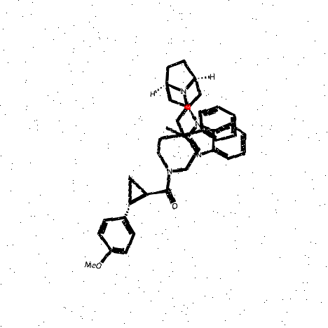 COc1ccc([C@@H]2C[C@H]2C(=O)N2CCC(CCN3[C@@H]4CC[C@H]3C[C@@H](n3c(C)nc5ccccc53)C4)(c3ccccc3)CC2)cc1